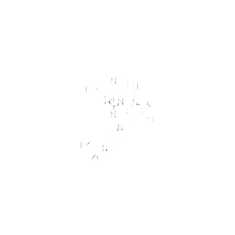 Cc1ccnc(C(C)C)c1-n1c(=O)nc(N2CCC3(CCN(C(=O)O)C3)C2)c2cc(Cl)c(Cl)nc21